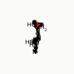 Cc1ncsc1-c1ccc(CNC(=O)[C@@H]2C[C@@H](O)CN2C(=O)C(c2cc(OCCOCCOCCOc3cc(N4C5CCC4CN(c4cc(-c6ccccc6O)nnc4N)C5)ccn3)no2)C(C)C)cc1